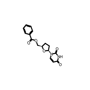 O=C(OC[C@H]1CC[C@@H](n2ccc(=O)[nH]c2=O)O1)c1ccccc1